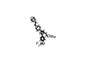 COCCc1cc(N2CCN(CCN3CCOCC3)CC2)nn1-c1ccc(OC(F)(F)F)cc1